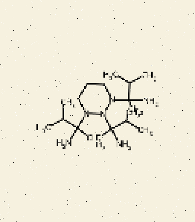 CC(C)C(C)(N)N1CCCN(C(C)(N)C(C)C)N1C(C)(N)C(C)C